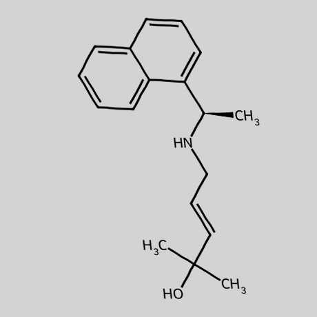 C[C@@H](NC/C=C/C(C)(C)O)c1cccc2ccccc12